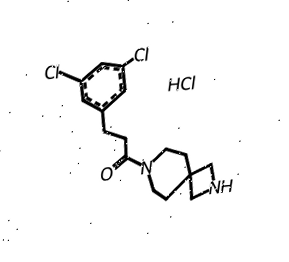 Cl.O=C(CCc1cc(Cl)cc(Cl)c1)N1CCC2(CC1)CNC2